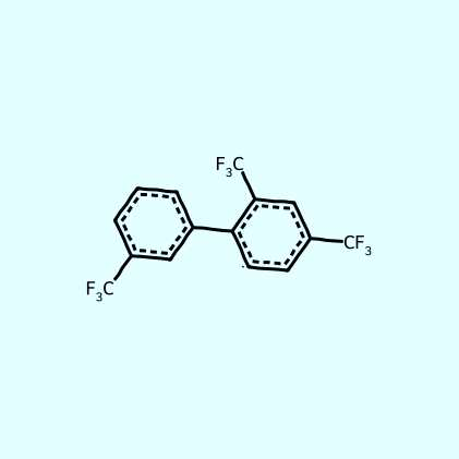 FC(F)(F)c1cccc(-c2[c]cc(C(F)(F)F)cc2C(F)(F)F)c1